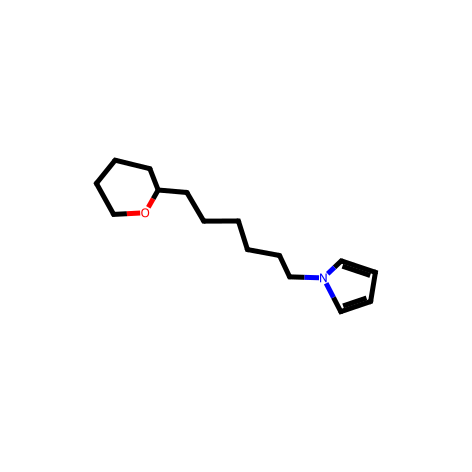 c1ccn(CCCCCCC2CCCCO2)c1